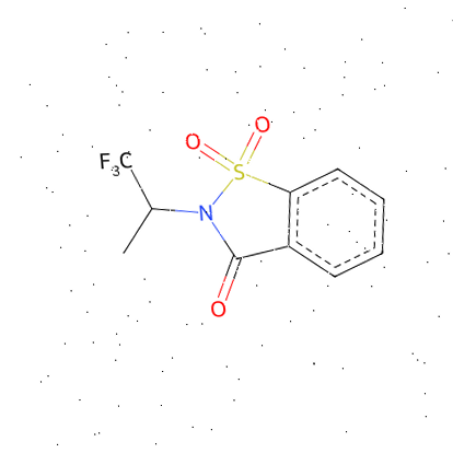 CC(N1C(=O)c2ccccc2S1(=O)=O)C(F)(F)F